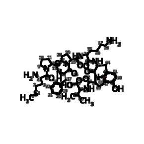 CSCC[C@H](N)C(=O)N1CCC[C@H]1C(=O)N[C@@H](Cc1ccccc1)C(=O)N1CCC[C@H]1C(=O)N[C@@H](CCCCN)C(=O)N[C@@H](Cc1ccc(O)cc1)C(=O)N1CCC[C@H]1C(=O)N[C@H](C(=O)O)C(C)C